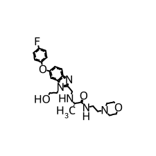 C[C@H](NCc1nc2ccc(Oc3ccc(F)cc3)cc2n1CCO)C(=O)NCCN1CCOCC1